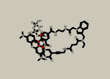 CCN(Cc1cn(CC(=O)NCCNC(=O)c2ccc(-c3c4ccc(=[N+](C)C)cc-4oc4cc(N(C)C)ccc34)c(C(=O)O)c2)c2ccccc12)C(=O)CCC(=O)NCC#Cc1cn(C2CC(=O)C(P(=O)(O)OP(=O)(O)OP(=O)(O)O)O2)c(=O)[nH]c1=O